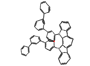 c1ccc(-c2cccc(-c3ccc(-n4c5ccccc5c5ccc6c7ccccc7n(-c7cccc(-c8cccc(-c9ccccc9)c8)c7)c6c54)cc3)c2)cc1